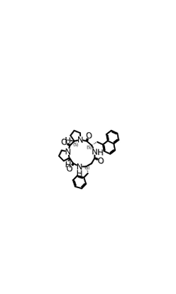 O=C1C[C@H](Cc2ccccc2)NC(=O)[C@@H]2CCCN2C(=O)[C@@H]2CCCN2C(=O)[C@H](Cc2cccc3ccccc23)N1